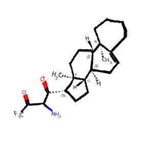 C[C@]12CC[C@H]3[C@@H](CC=C4CCCC[C@@]43C)[C@@H]1CC[C@@H]2C(=O)C(N)C(=O)C(F)(F)F